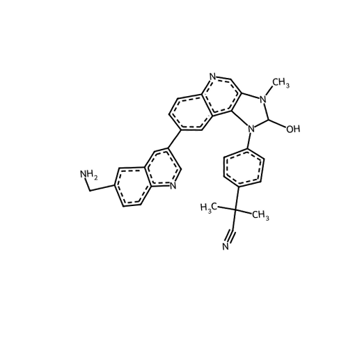 CN1c2cnc3ccc(-c4cnc5ccc(CN)cc5c4)cc3c2N(c2ccc(C(C)(C)C#N)cc2)C1O